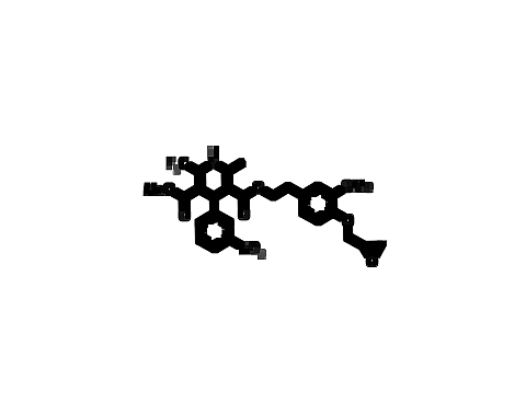 COC(=O)C1=C(C(F)(F)F)NC(C)=C(C(=O)OCCc2ccc(OCC3CO3)c(OC)c2)C1c1cccc([N+](=O)[O-])c1